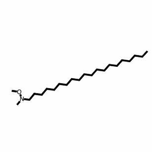 CCCCCCCCCCCCCCCCCCCCN(C)OC